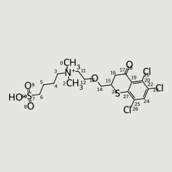 C[N+](C)(CCCCS(=O)(=O)O)CCOCC1CC(=O)c2c(Cl)c(Cl)cc(Cl)c2S1